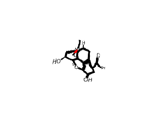 CC(C)C(=O)c1cc(O)c2c3c1C[C@@H]1[C@@H]4C=C[C@H](O)[C@H](O2)[C@]34CCN1C